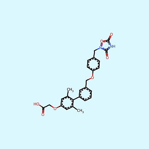 Cc1cc(OCC(=O)O)cc(C)c1-c1cccc(COc2ccc(Cn3oc(=O)[nH]c3=O)cc2)c1